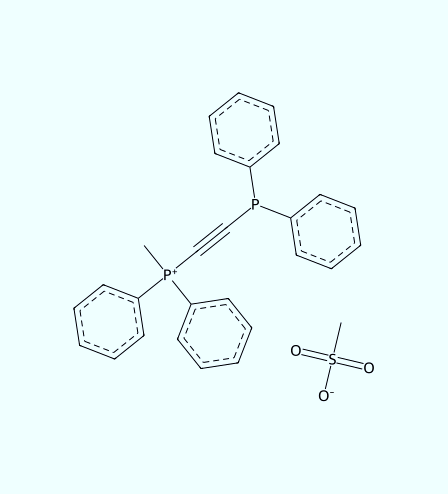 CS(=O)(=O)[O-].C[P+](C#CP(c1ccccc1)c1ccccc1)(c1ccccc1)c1ccccc1